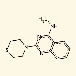 CNc1nc(N2CCSCC2)nc2ccccc12